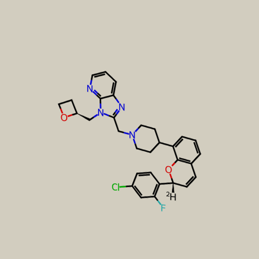 [2H][C@]1(c2ccc(Cl)cc2F)C=Cc2cccc(C3CCN(Cc4nc5cccnc5n4C[C@@H]4CCO4)CC3)c2O1